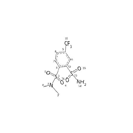 CN(C)S(=O)(=O)c1ccc(C(F)(F)F)cc1S(N)(=O)=O